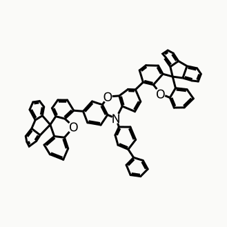 c1ccc(-c2ccc(N3c4ccc(-c5cccc6c5Oc5ccccc5C65c6ccccc6-c6ccccc65)cc4Oc4cc(-c5cccc6c5Oc5ccccc5C65c6ccccc6-c6ccccc65)ccc43)cc2)cc1